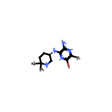 CC1(C)CC[C@H](Nc2nc(Br)c(C(F)(F)F)nc2N)CN1